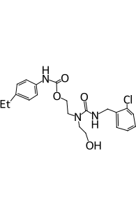 CCc1ccc(NC(=O)OCCN(CCO)C(=O)NCc2ccccc2Cl)cc1